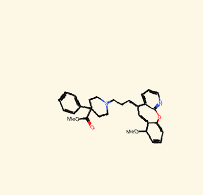 COC(=O)C1(c2ccccc2)CCN(CCC=C2C=C3C(=CC=CC3OC)Oc3ncccc32)CC1